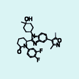 Cc1noc(C)c1-c1ccc2c(c1)nc(C1CCCC(=O)N1c1ccc(F)c(F)c1)n2C1CCC(C)(O)CC1